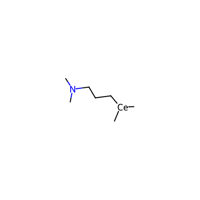 CN(C)CC[CH2][Ce]([CH3])[CH3]